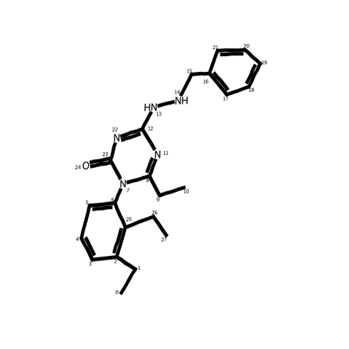 CCc1cccc(-n2c(CC)nc(NNCc3ccccc3)nc2=O)c1CC